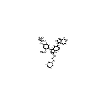 COc1cc(NS(C)(=O)=O)ccc1-n1nc(NCCN2CCOCC2)c2cnc(-c3cnc4cccnn34)cc21